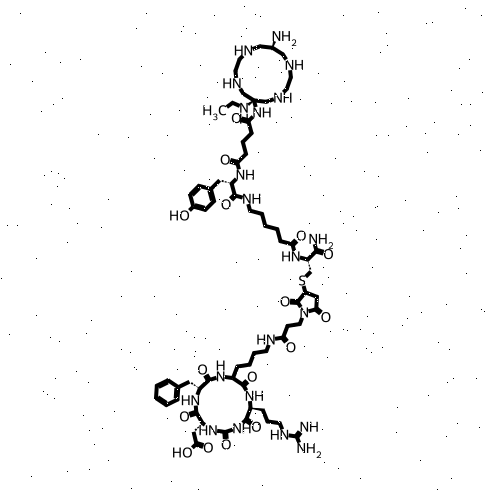 CCN[C@]1(NC(=O)CCCC(=O)N[C@@H](Cc2ccc(O)cc2)C(=O)NCCCCCC(=O)N[C@@H](CSC2CC(=O)N(CCC(=O)NCCCCC3NC(=O)[C@@H](Cc4ccccc4)NC(=O)[C@@H](CC(=O)O)NC(=O)NC(=O)[C@H](CCCNC(=N)N)NC3=O)C2=O)C(N)=O)CNCCNC[C@H](N)CNCCNC1